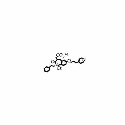 CCC1c2ccc(OCCCc3ccncc3)cc2CC(CC(=O)O)C(=O)N1CCc1ccccc1